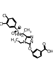 CCn1c(Oc2cccc(C(=O)O)c2)nnc1[C@@H](C)NS(=O)(=O)c1ccc(Cl)c(Cl)c1